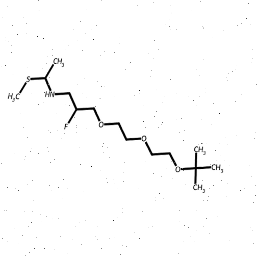 CSC(C)NCC(F)COCCOCCOC(C)(C)C